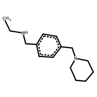 CCNCc1ccc(CN2CCCCC2)cc1